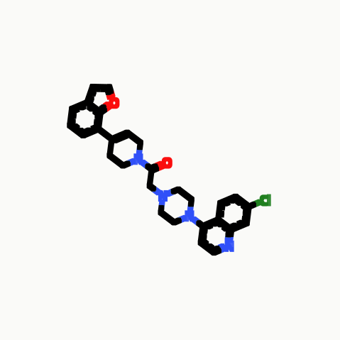 O=C(CN1CCN(c2ccnc3cc(Cl)ccc23)CC1)N1CC=C(c2cccc3ccoc23)CC1